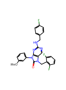 COc1cccc(-n2c(=O)n(Cc3c(F)cccc3F)c3cnc(NCc4ccc(F)cc4)nc32)c1